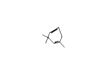 CC1=CC(C)(C)C=CC1